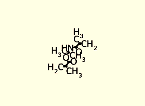 C=C(C)C(=O)NC(C)(C)OC(=O)C(=C)C